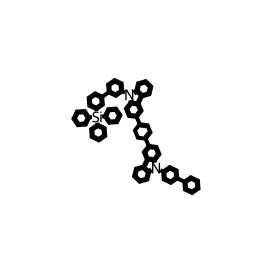 C1=C(c2ccc3c(c2)c2ccccc2n3-c2ccc(-c3ccccc3)cc2)CCC(c2ccc3c(c2)c2ccccc2n3-c2cccc(-c3cccc([Si](c4ccccc4)(c4ccccc4)c4ccccc4)c3)c2)=C1